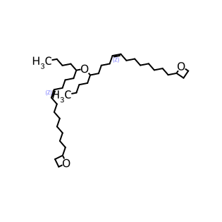 CCCCC(CCC/C=C\CCCCCCCC1CCO1)OC(CCCC)CCC/C=C\CCCCCCCC1CCO1